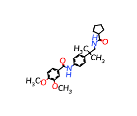 COc1ccc(C(=O)Nc2ccc(C(C)(C)CNC(=O)C3CCCC3)cc2)cc1OC